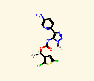 C[C@@H](OC(=O)Nc1c(-c2ccc(N)cn2)nnn1C)c1cc(Cl)sc1Cl